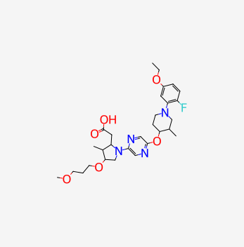 CCOc1ccc(F)c(N2CCC(Oc3cnc(N4CC(OCCCOC)C(C)C4CC(=O)O)cn3)C(C)C2)c1